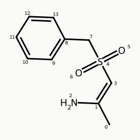 CC(N)=CS(=O)(=O)Cc1ccccc1